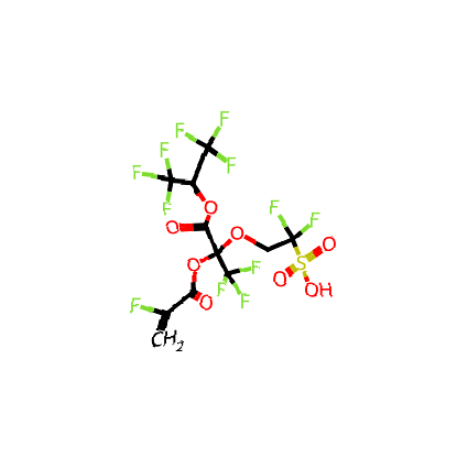 C=C(F)C(=O)OC(OCC(F)(F)S(=O)(=O)O)(C(=O)OC(C(F)(F)F)C(F)(F)F)C(F)(F)F